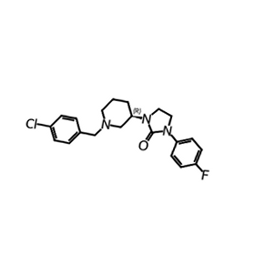 O=C1N(c2ccc(F)cc2)CCN1[C@@H]1CCCN(Cc2ccc(Cl)cc2)C1